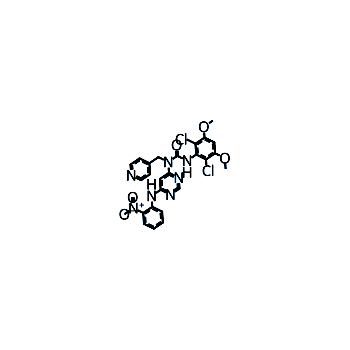 COc1cc(OC)c(Cl)c(NC(=O)N(Cc2ccncc2)c2cc(Nc3ccccc3[N+](=O)[O-])ncn2)c1Cl